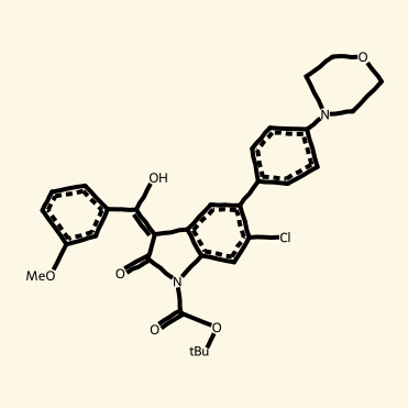 COc1cccc(C(O)=C2C(=O)N(C(=O)OC(C)(C)C)c3cc(Cl)c(-c4ccc(N5CCOCC5)cc4)cc32)c1